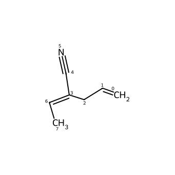 C=CC/C(C#N)=C\C